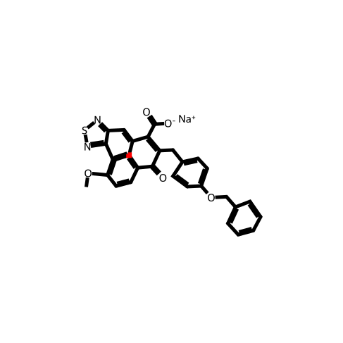 COc1ccc(C(=O)/C(Cc2ccc(OCc3ccccc3)cc2)=C(/C(=O)[O-])c2ccc3nsnc3c2)cc1.[Na+]